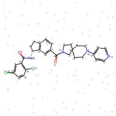 O=C(N[C@@H]1CCc2ccc(C(=O)N3CCC4(CCN(c5ccncc5)CC4)C3)cc21)c1cc(Cl)ccc1Cl